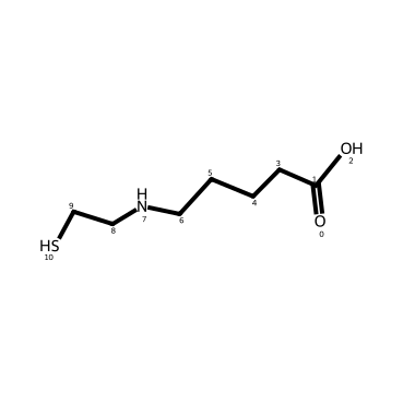 O=C(O)CCCCNCCS